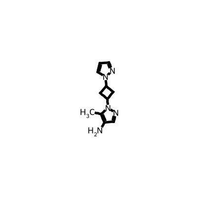 Cc1c(N)cnn1C1CC(n2cccn2)C1